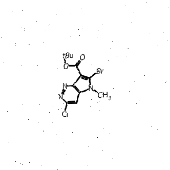 Cn1c(Br)c(C(=O)OC(C)(C)C)c2nnc(Cl)cc21